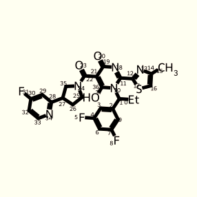 CCC(c1cc(F)cc(F)c1)n1c(-c2nc(C)cs2)nc(=O)c(C(=O)N2CCC(c3cc(F)ccn3)C2)c1O